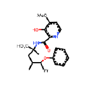 COc1ccnc(C(=O)NC(C)(CC(C)C(Oc2ccccc2)C(C)C)C(=O)O)c1O